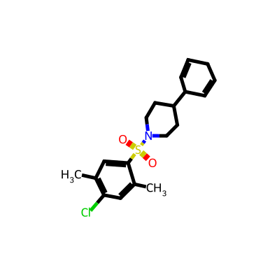 Cc1cc(S(=O)(=O)N2CCC(C3C=CCC=C3)CC2)c(C)cc1Cl